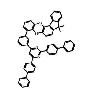 CC1(C)c2ccccc2-c2c1ccc1c2Oc2cccc(-c3cccc(-c4cc(-c5ccc(-c6ccccc6)cc5)nc(-c5ccc(-c6ccccc6)cc5)n4)c3)c2O1